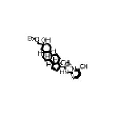 CCOC[C@@]1(O)CC[C@H]2[C@H](CC[C@@H]3[C@@H]2CC[C@]2(C)[C@@H](C(=O)Nc4nccc(C#N)n4)CC[C@@H]32)C1